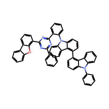 c1ccc(-c2nc(-c3ccccc3-n3c4ccccc4c4c(-c5cccc6c5c5ccccc5n6-c5ccccc5)cccc43)nc(-c3cccc4c3oc3ccccc34)n2)cc1